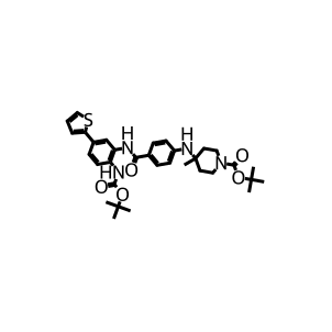 CC1(Nc2ccc(C(=O)Nc3cc(-c4cccs4)ccc3NC(=O)OC(C)(C)C)cc2)CCN(C(=O)OC(C)(C)C)CC1